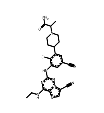 CCNc1nc(Nc2cc(C#N)cc(C3CCN(C(C)C(N)=O)CC3)c2Cl)nn2c(C#N)cnc12